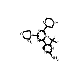 C[C@H]1COCCN1c1nc(-c2cnc(N)nc2C(F)(F)F)nc(C2CNCCO2)n1